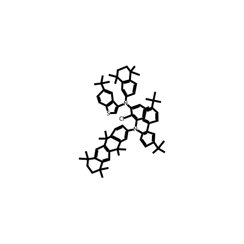 Cc1cc(N(c2ccc3c(c2)C(C)(C)c2cc4c(cc2C3(C)C)C(C)(C)CCC4(C)C)c2ccc(C(C)(C)C)cc2-c2ccc(C(C)(C)C)cc2)c(Cl)c(N(c2ccc3c(c2)C(C)(C)CCC3(C)C)c2csc3ccc(C(C)(C)C)cc23)c1